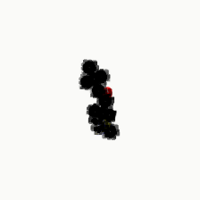 C=C/C(c1c2ccccc2c(-c2ccc3oc4cc(-c5c6ccccc6c(-c6ccccc6)c6ccccc56)ccc4c3c2)c2ccccc12)=c1/sc2ccccc2/c1=C/C